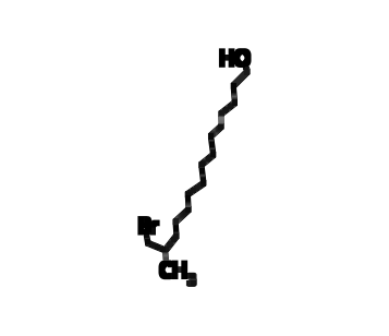 CC(CBr)CCCCCCCCCCCCCO